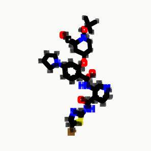 CC(C)(C)ON1CCC(Oc2cc(N3CCCC3)ccc2C(=O)Nc2cnccc2C(=O)Nc2ncc(Br)s2)CC1=C=O